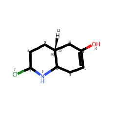 OC1=CCC2NC(Cl)CC[C@@H]2C1